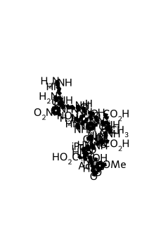 COc1ccc2c(N(C(C)=O)[C@@H](CO)C(=O)N[C@@H](CCC(=O)O)C(=O)N[C@H](C(=O)N[C@@H](CC(N)=O)C(=O)N[C@@H](CC(C)C)C(=O)N[C@@H](CC(=O)O)C(=O)N[C@@H](C)C(=O)N[C@@H](CCC(=O)O)C(=O)N[C@@H](Cc3ccccc3)C(=O)N[C@@H](CCCNC(=N)N)C(=O)N[C@@H](CCCCN)C(=O)NC(=N)NCCC[C@H](Nc3ccc([N+](=O)[O-])cc3[N+](=O)[O-])C(=O)N[C@@H](CCCNC(=N)N)C(N)=O)C(C)C)cc(=O)oc2c1